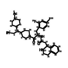 CC(=O)N1CCC(N(CC(C)C)C2CCN(C(=O)[C@@H](Cc3ccc(F)cc3F)NC(=O)CC3NCCc4ccccc43)CC2)CC1